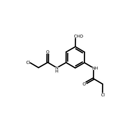 O=[C]c1cc(NC(=O)CCl)cc(NC(=O)CCl)c1